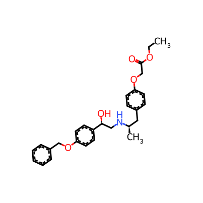 CCOC(=O)COc1ccc(C[C@@H](C)NC[C@H](O)c2ccc(OCc3ccccc3)cc2)cc1